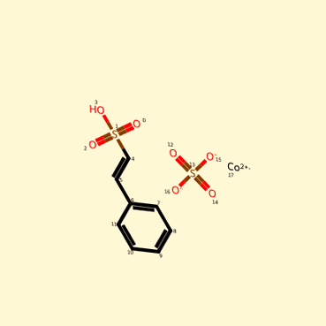 O=S(=O)(O)C=Cc1ccccc1.O=S(=O)([O-])[O-].[Co+2]